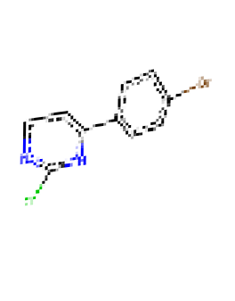 Clc1nccc(-c2ccc(Br)cc2)n1